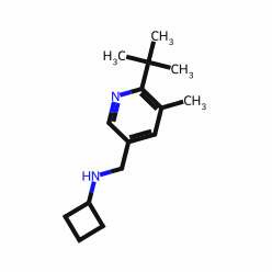 Cc1cc(CNC2CCC2)cnc1C(C)(C)C